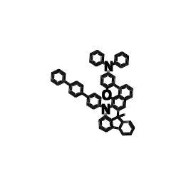 CC12c3cc4cccc5c4c(c3N(c3ccc(-c4ccc(-c6ccccc6)cc4)cc3)c3cccc(c31)C1C=CC=CC12)Oc1ccc(N(c2ccccc2)c2ccccc2)cc1-5